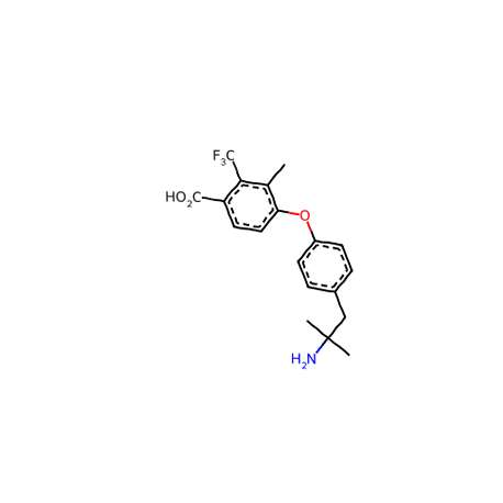 Cc1c(Oc2ccc(CC(C)(C)N)cc2)ccc(C(=O)O)c1C(F)(F)F